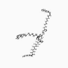 CCCCCC/C=C\CCCCCCCCCC(=O)OCC(COC(=O)CCCCCCCCC/C=C\CCCCCC)OC(=O)CCCCCCCCC/C=C\CCCCCC